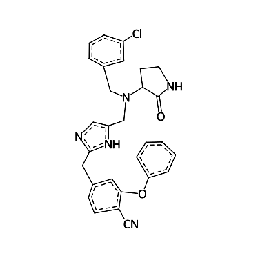 N#Cc1ccc(Cc2ncc(CN(Cc3cccc(Cl)c3)C3CCNC3=O)[nH]2)cc1Oc1ccccc1